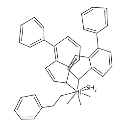 [CH3][Hf]([CH3])([CH3])(=[SiH2])([CH2]Cc1ccccc1)([CH]1C=Cc2c(-c3ccccc3)cccc21)[CH]1C=Cc2c(-c3ccccc3)cccc21